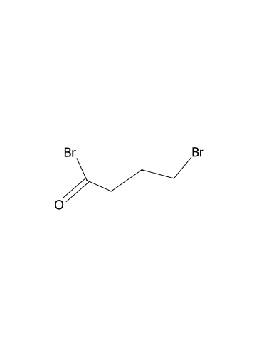 O=C(Br)CCCBr